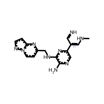 CN/C=C(\C=N)c1cnc(N)c(NCc2ccn3nccc3n2)n1